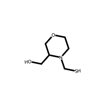 OCC1COCCN1CS